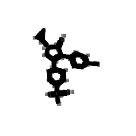 Cc1ccc(C2=C(c3ccc(S(C)(=O)=O)cc3)CN(C3CC3)C2=O)cc1